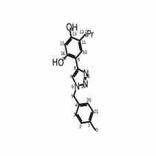 Cc1ccc(Cn2cc(-c3cc(C(C)C)c(O)cc3O)nn2)cc1